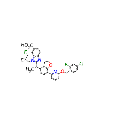 CC(c1ccc(-c2cccc(OCc3ccc(Cl)cc3F)n2)c2c1CCO2)c1nc2ccc(C(=O)O)cc2n1CC1(CF)CC1